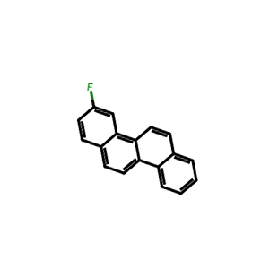 Fc1ccc2ccc3c4ccccc4ccc3c2c1